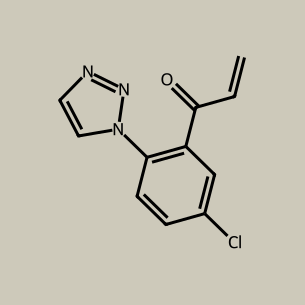 C=CC(=O)c1cc(Cl)ccc1-n1ccnn1